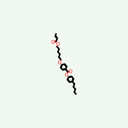 C/C=C/C(=O)OCCCCCCOc1ccc(C(=O)Oc2ccc(CCCCC)cc2)cc1